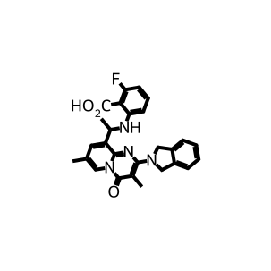 Cc1cc(C(C)Nc2cccc(F)c2C(=O)O)c2nc(N3Cc4ccccc4C3)c(C)c(=O)n2c1